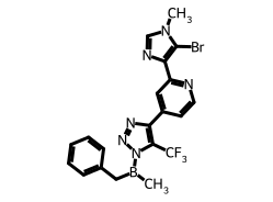 CB(Cc1ccccc1)n1nnc(-c2ccnc(-c3ncn(C)c3Br)c2)c1C(F)(F)F